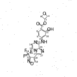 O=C(OC1COC1)c1ccc(Nc2nccn3c(-c4conc4C(F)(F)F)cnc23)cc1O